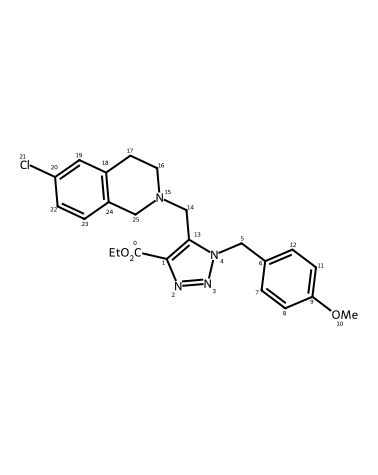 CCOC(=O)c1nnn(Cc2ccc(OC)cc2)c1CN1CCc2cc(Cl)ccc2C1